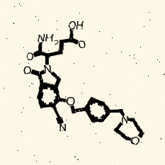 N#Cc1ccc2c(c1OCc1ccc(CN3CCOCC3)cc1)CN(C(CCC(=O)O)C(N)=O)C2=O